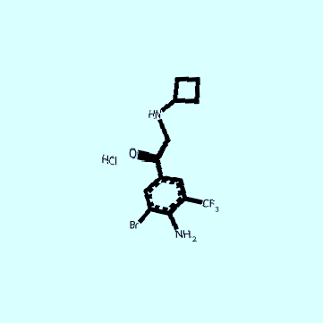 Cl.Nc1c(Br)cc(C(=O)CNC2CCC2)cc1C(F)(F)F